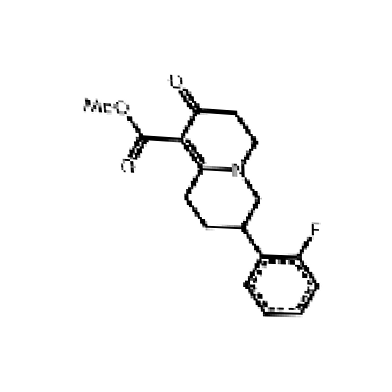 COC(=O)C1=C2CCC(c3ccccc3F)CN2CCC1=O